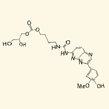 COc1cc(-c2cnc3ccc(NC(=O)NCCCCOC(=O)OCC(O)CO)nc3n2)ccc1O